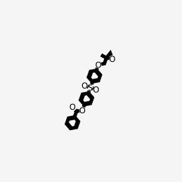 CC1(COc2ccc(S(=O)(=O)c3ccc(OC(=O)c4ccccc4)cc3)cc2)CO1